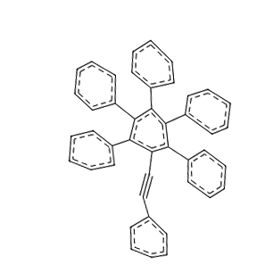 C(#Cc1c(-c2ccccc2)c(-c2ccccc2)c(-c2ccccc2)c(-c2ccccc2)c1-c1ccccc1)c1ccccc1